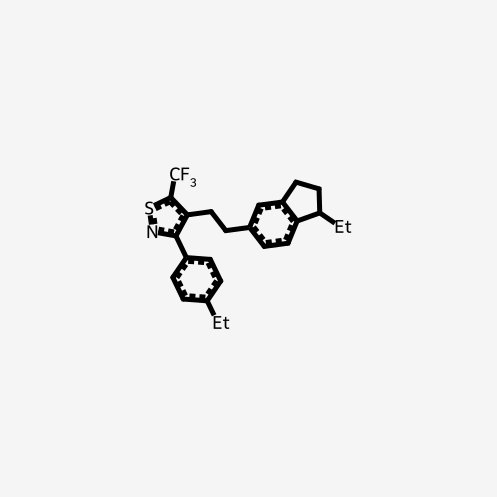 CCc1ccc(-c2nsc(C(F)(F)F)c2CCc2ccc3c(c2)CCC3CC)cc1